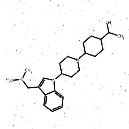 CC(C)C1CCC(N2CCC(n3cc(CN(C)C)c4ccccc43)CC2)CC1